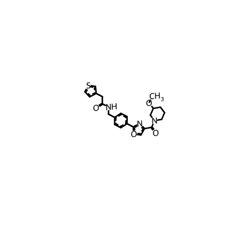 COC1CCCN(C(=O)c2coc(-c3ccc(CNC(=O)Cc4ccsc4)cc3)n2)C1